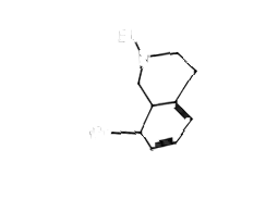 CCN1CCC2=CC=CC(C(C)C)C2C1